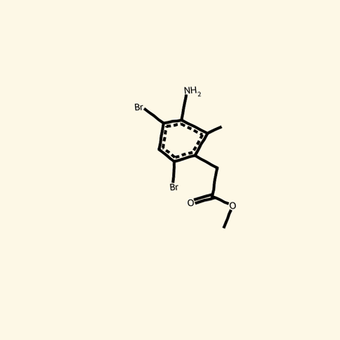 COC(=O)Cc1c(Br)cc(Br)c(N)c1C